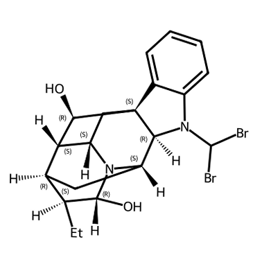 CC[C@H]1[C@@H]2C[C@H]3[C@@H]4N(C(Br)Br)c5ccccc5[C@@]45C[C@@H]([C@H]2[C@H]5O)N3[C@@H]1O